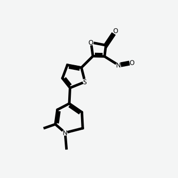 CC1=CC(c2ccc(C3=C(N=O)C(=O)O3)s2)=CCN1C